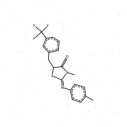 Cc1ccc(N=C2SC(Cc3cccc(C(F)(F)F)c3)C(=O)N2C)cc1